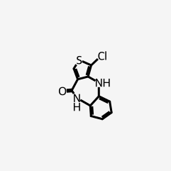 O=C1Nc2ccccc2Nc2c1csc2Cl